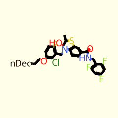 CCCCCCCCCCCCOc1ccc(F)c(CN2c3ccc(C(=O)NCc4c(F)cc(F)cc4F)cc3SC(C)C2O)c1Cl